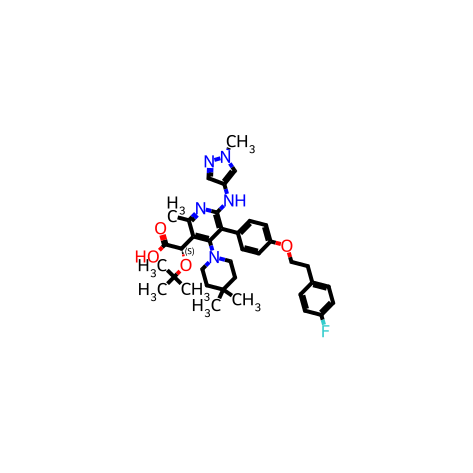 Cc1nc(Nc2cnn(C)c2)c(-c2ccc(OCCc3ccc(F)cc3)cc2)c(N2CCC(C)(C)CC2)c1[C@H](OC(C)(C)C)C(=O)O